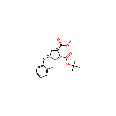 COC(=O)[C@@H]1C[C@@H](Sc2ccccc2Cl)CN1C(=O)OC(C)(C)C